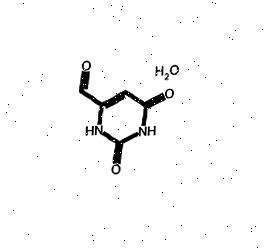 O.O=Cc1cc(=O)[nH]c(=O)[nH]1